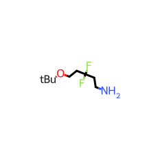 CC(C)(C)OCCC(F)(F)CCN